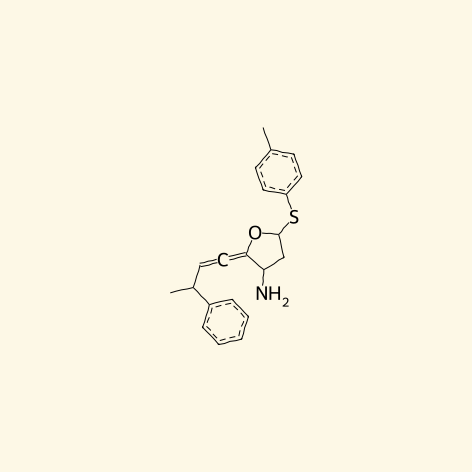 Cc1ccc(SC2CC(N)C(=C=CC(C)c3ccccc3)O2)cc1